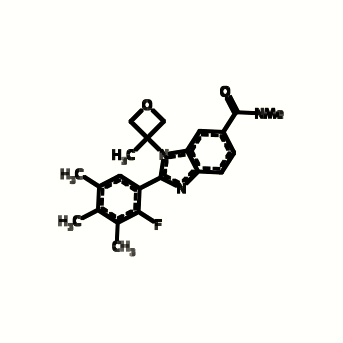 CNC(=O)c1ccc2nc(-c3cc(C)c(C)c(C)c3F)n(C3(C)COC3)c2c1